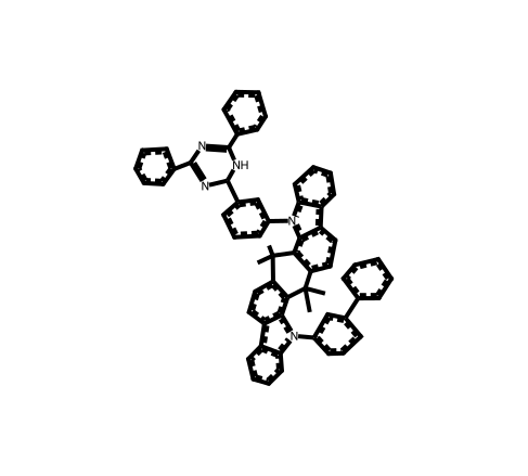 CC1(C)c2ccc3c4ccccc4n(-c4cccc(C5N=C(c6ccccc6)N=C(c6ccccc6)N5)c4)c3c2C(C)(C)c2ccc3c4ccccc4n(-c4cccc(-c5ccccc5)c4)c3c21